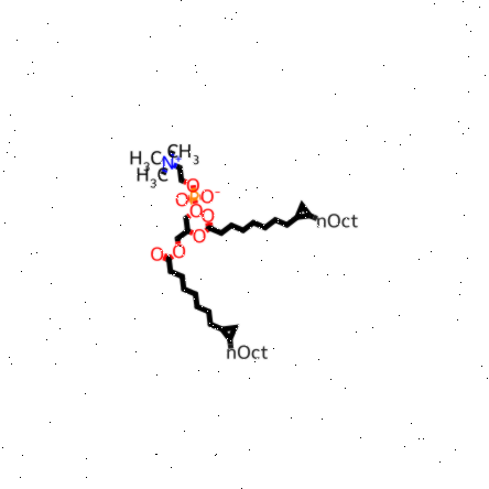 CCCCCCCCC1CC1CCCCCCCC(=O)OCC(COP(=O)([O-])OCC[N+](C)(C)C)OC(=O)CCCCCCCC1CC1CCCCCCCC